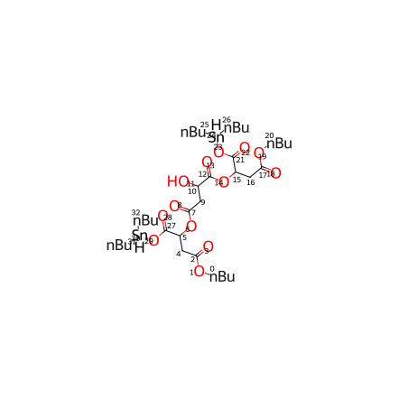 CCCCOC(=O)CC(OC(=O)CC(O)C(=O)OC(CC(=O)OCCCC)C(=O)[O][SnH]([CH2]CCC)[CH2]CCC)C(=O)[O][SnH]([CH2]CCC)[CH2]CCC